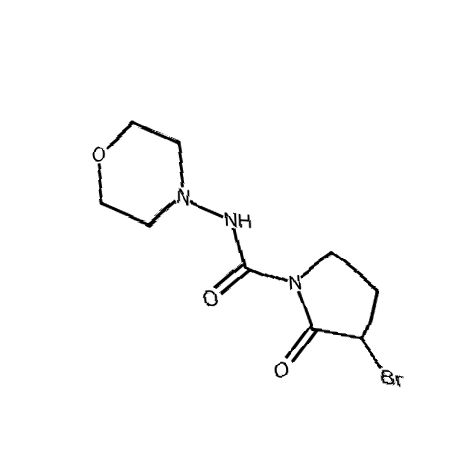 O=C(NN1CCOCC1)N1CCC(Br)C1=O